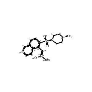 CN1CCN(S(=O)(=O)c2ccc3cnccc3c2/C=[N+](\[O-])C(C)(C)C)CC1